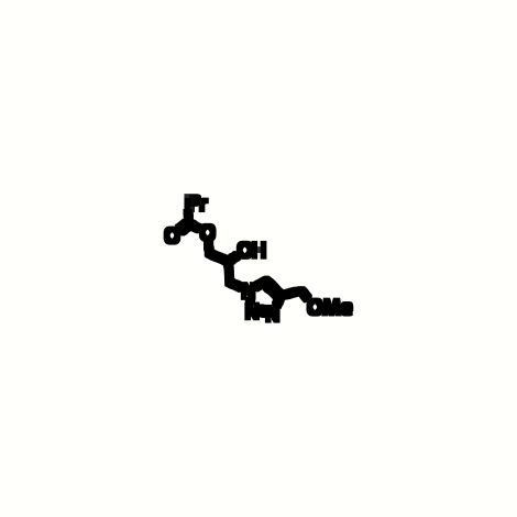 COCc1cn(CC(O)COC(=O)C(C)C)nn1